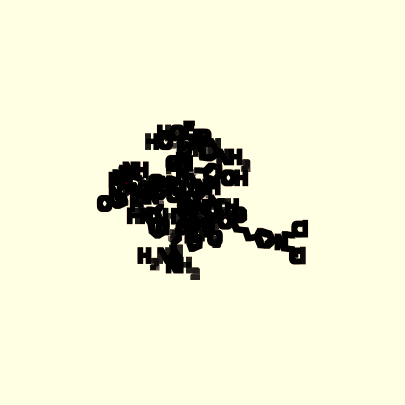 CCNC(=O)[C@@H]1CCCN1C(=O)[C@@H](CCCN=C(N)N)NC(=O)[C@@H](CC(C)C)NC(=O)[C@@H](CC(C)C)NC(=O)[C@@H](Cc1ccc(O)cc1)NC(=O)[C@@H](CO)NC(=O)[C@H](Cc1c[nH]c2ccccc12)NC(=O)[C@H](Cc1cnc[nH]1)NC(=O)[C@H]1CCC(=O)N1.Nc1ccn([C@@H]2O[C@H](CO)[C@@H](O)C2(F)F)c(=O)n1.O=C(O)CCCc1ccc(N(CCCl)CCCl)cc1